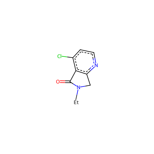 CCN1Cc2nccc(Cl)c2C1=O